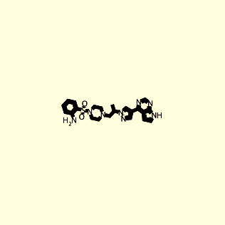 CC(CN1CCN(S(=O)(=O)c2ccccc2N)CC1)n1cc(-c2ncnc3[nH]ccc23)cn1